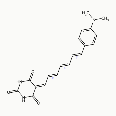 CN(C)c1ccc(/C=C/C=C/C=C/C=C2C(=O)NC(=O)NC2=O)cc1